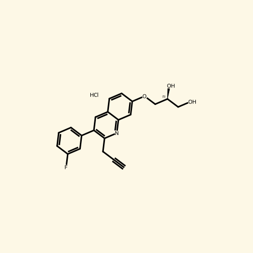 C#CCc1nc2cc(OC[C@@H](O)CO)ccc2cc1-c1cccc(F)c1.Cl